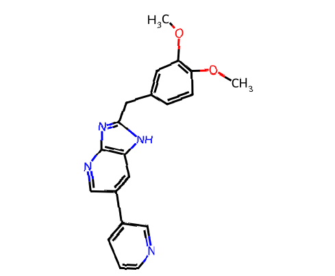 COc1ccc(Cc2nc3ncc(-c4cccnc4)cc3[nH]2)cc1OC